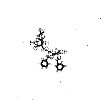 C[C@H](O)[C@H](OCc1ccccc1)[C@H](CCOCC(NC(=O)OC(C)(C)C)C(=O)O)OCc1ccccc1